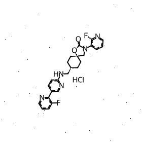 Cl.O=C1O[C@]2(CC[C@H](CNc3ccc(-c4ncccc4F)cn3)CC2)CN1c1cccnc1F